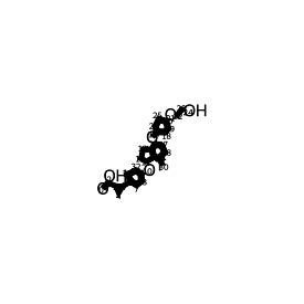 O=C(O)C1CC1c1ccc(OC2CCc3c(Oc4ccc(OCCO)cc4)ccc(F)c32)cc1